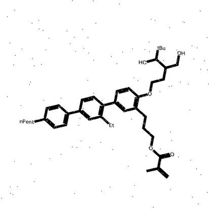 C=C(C)C(=O)OCCCc1cc(-c2ccc(-c3ccc(CCCCC)cc3)cc2CC)ccc1OCCC(CO)C(O)C(C)(C)C